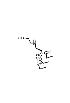 CCO.CCO.CCO.OCCNCCO